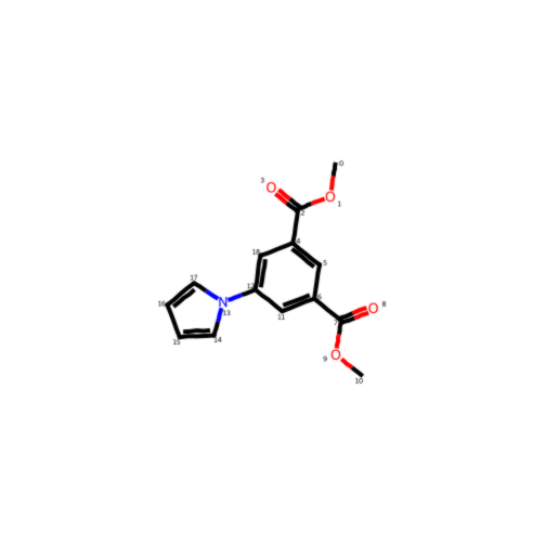 COC(=O)c1cc(C(=O)OC)cc(-n2cccc2)c1